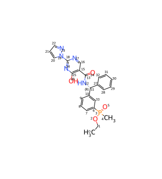 CCOP(C)(=O)c1cccc([C@H](NC(=O)c2cnc(-n3cccn3)nc2O)c2ccccc2)c1